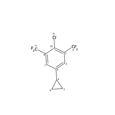 FC(F)(F)c1cc(C2CC2)cc(C(F)(F)F)c1Cl